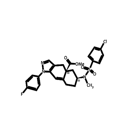 COC(=O)[C@]12Cc3cnn(-c4ccc(F)cc4)c3C=C1CC[C@H](N(C)S(=O)(=O)c1ccc(Cl)cc1)C2